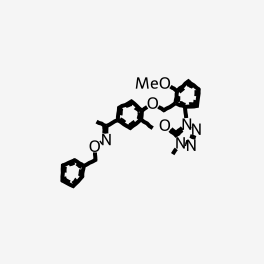 COc1cccc(-n2nnn(C)c2=O)c1COc1ccc(C(C)=NOCc2ccccc2)cc1C